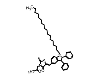 CCCCCCCCCCCCCCCCCCN1c2ccc(/C=C3\SC(=S)N(CC(=O)O)C3=O)cc2C(c2ccccc2)C1c1ccccc1